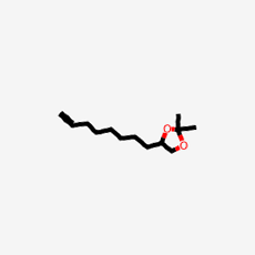 C=CCCCCCCC1COC(C)(C)O1